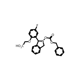 O=C(O)COc1ccc(F)cc1C1c2ccccc2CN1OC(=O)OCc1ccccc1